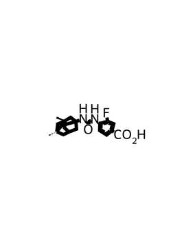 C[C@]12CC3CC(NC(=O)Nc4ccc(C(=O)O)cc4F)(C1)C[C@@](C)(C3)C2